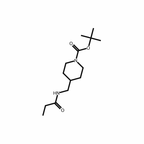 CCC(=O)NCC1CCN(C(=O)OC(C)(C)C)CC1